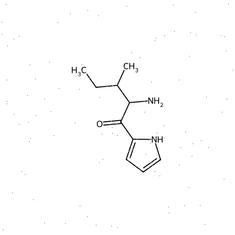 CCC(C)C(N)C(=O)c1ccc[nH]1